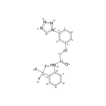 O=C(COc1cccc(-n2cnnn2)c1)Nc1ccccc1C(F)(F)F